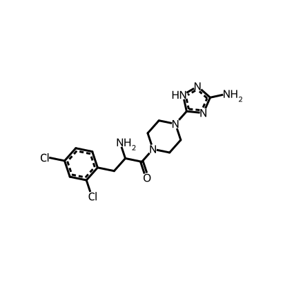 Nc1n[nH]c(N2CCN(C(=O)C(N)Cc3ccc(Cl)cc3Cl)CC2)n1